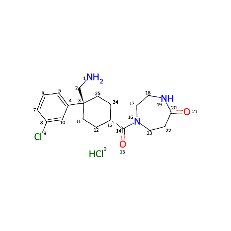 Cl.NC[C@]1(c2cccc(Cl)c2)CC[C@@H](C(=O)N2CCNC(=O)CC2)CC1